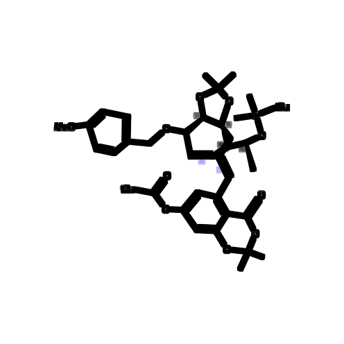 COc1ccc(COC(/C=C\[C@@H](C)[C@H](C)O[Si](C)(C)C(C)(C)C)[C@H]2OC(C)(C)O[C@H]2C/C=C/c2cc(OC(=O)C(C)(C)C)cc3c2C(=O)OC(C)(C)O3)cc1